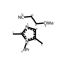 CCCn1c(C)cnc1C.COCCC#N